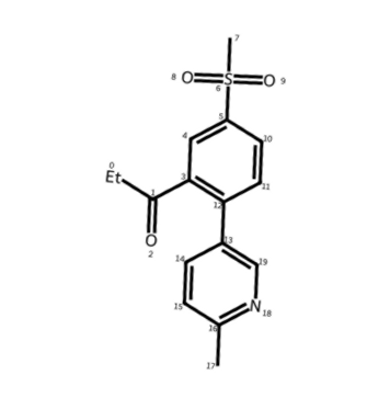 CCC(=O)c1cc(S(C)(=O)=O)ccc1-c1ccc(C)nc1